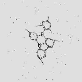 Cc1cc(C)c(B2c3cc(C)ccc3-n3c4ccc(C)cc4c4cc(C)cc2c43)c(C)c1